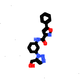 O=C(NC1CCCC(n2nncc2CO)C1)c1cc(-c2ccccc2)on1